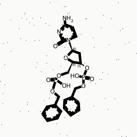 Nc1ccn([C@H]2C[C@H](OP(=O)(O)OCc3ccccc3)[C@@H](COP(=O)(O)OCc3ccccc3)O2)c(=O)n1